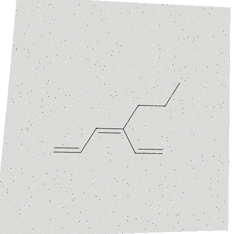 C=C/C=C(\C=C)CCC